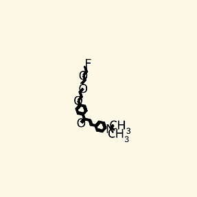 CN(C)c1ccc(/C=C/C(=O)c2ccc(OCCOCCOCCF)cc2)cc1